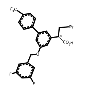 CC(C)C[C@H](C(=O)O)c1cc(OCc2cc(F)cc(F)c2)cc(-c2ccc(C(F)(F)F)cc2)c1